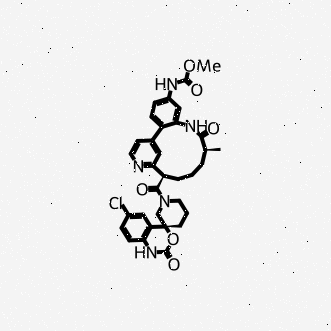 COC(=O)Nc1ccc2c(c1)NC(=O)[C@@H](C)CCC[C@@H](C(=O)N1CCC[C@@]3(C1)OC(=O)Nc1ccc(Cl)cc13)c1cc-2ccn1